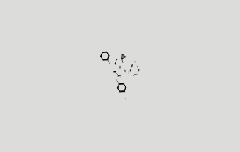 COc1ccc(C[C@H](NC(=O)[C@H]2NCCC[C@@]2(C)O)C(=O)N[C@@H](Cc2ccccc2)C(=O)C2(C)CC2)cc1